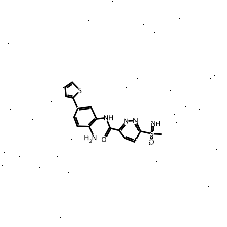 CS(=N)(=O)c1ccc(C(=O)Nc2cc(-c3cccs3)ccc2N)nn1